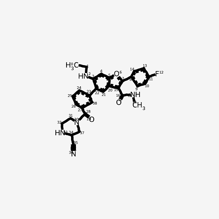 CCNc1cc2oc(-c3ccc(F)cc3)c(C(=O)NC)c2cc1-c1cccc(C(=O)N2CCNC(C#N)C2)c1